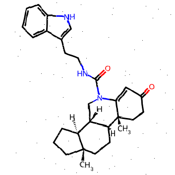 C[C@@]12CCC[C@H]1[C@@H]1CN(C(=O)NCCc3c[nH]c4ccccc34)C3=CC(=O)CC[C@]3(C)[C@H]1CC2